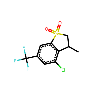 CC1CS(=O)(=O)c2cc(C(F)(F)F)cc(Cl)c21